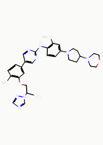 COc1cc(N2CCC(N3CCOCC3)CC2)ccc1Nc1ncc(-c2ccc(C#N)c(OCC(C)n3cncn3)c2)cn1